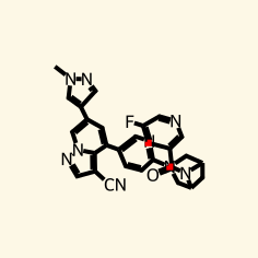 Cn1cc(-c2cc(-c3ccc(N4CC5CC(C4)N5C(=O)c4cncc(F)c4)nc3)c3c(C#N)cnn3c2)cn1